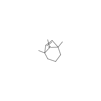 CP1C2(C)C=CC1(C)CCC2